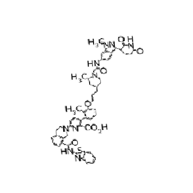 Cc1c(OCCC[C@@H]2CCN(CC(=O)Nc3ccc4c(C5CCC(=O)NC5=O)nn(C)c4c3)[C@H](C)C2)cccc1-c1ccc(N2CCc3cccc(C(=O)Nc4nc5ccccc5s4)c3C2)nc1C(=O)O